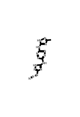 Cc1n[nH]c(Nc2nnc(Nc3nc(N=[N+]=[N-])n[nH]3)nn2)n1